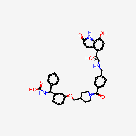 O=C(O)NC(c1ccccc1)c1cccc(OCC2CCN(C(=O)c3ccc(CNC[C@@H](O)c4ccc(O)c5[nH]c(=O)ccc45)cc3)CC2)c1